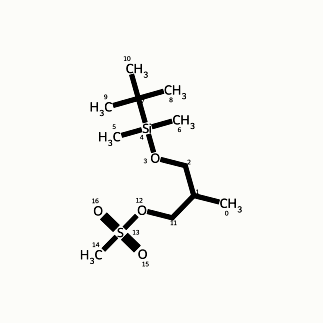 CC(CO[Si](C)(C)C(C)(C)C)COS(C)(=O)=O